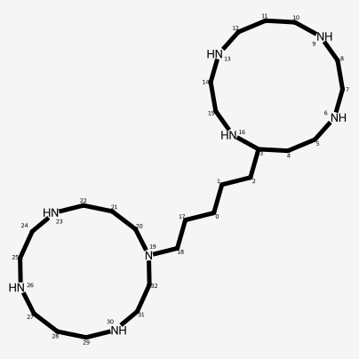 C(CCC1CCNCCNCCCNCCN1)CCN1CCCNCCNCCCNCC1